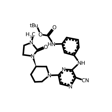 CN1CCN([C@@H]2CCCN(c3cnc(C#N)c(Nc4cccc(NC(=O)OC(C)(C)C)c4)n3)C2)C1=O